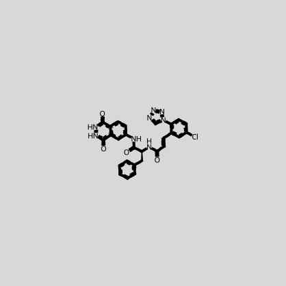 O=C(/C=C/c1cc(Cl)ccc1-n1cnnn1)N[C@@H](Cc1ccccc1)C(=O)Nc1ccc2c(=O)[nH][nH]c(=O)c2c1